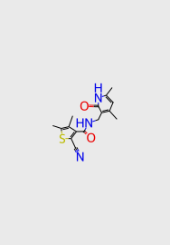 Cc1cc(C)c(CNC(=O)c2c(C#N)sc(C)c2C)c(=O)[nH]1